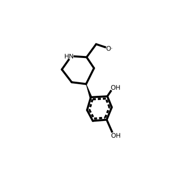 [O]CC1C[C@@H](c2ccc(O)cc2O)CCN1